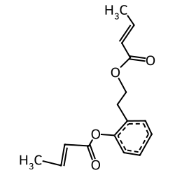 CC=CC(=O)OCCc1ccccc1OC(=O)C=CC